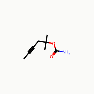 CC#CCC(C)(C)OC(N)=O